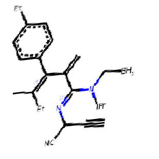 BCN(/C(=N\C(C#C)C#N)C(=C)/C(=C(/C)CC)c1ccc(CC)cc1)C(C)C